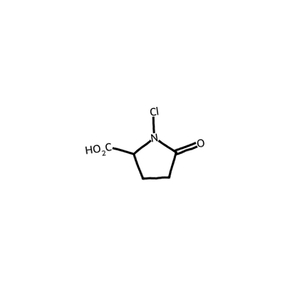 O=C(O)C1CCC(=O)N1Cl